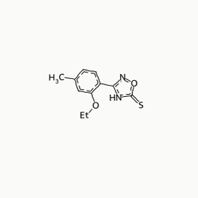 CCOc1cc(C)ccc1-c1noc(=S)[nH]1